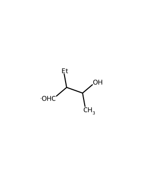 CCC([C]=O)C(C)O